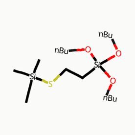 CCCCO[Si](CCS[Si](C)(C)C)(OCCCC)OCCCC